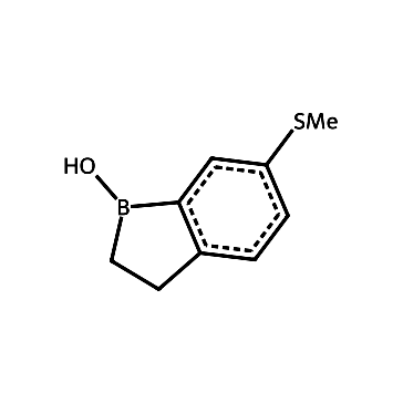 CSc1ccc2c(c1)B(O)CC2